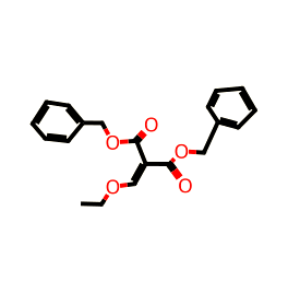 CCOC=C(C(=O)OCc1ccccc1)C(=O)OCc1ccccc1